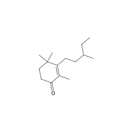 CCC(C)CCC1=C(C)C(=O)CCC1(C)C